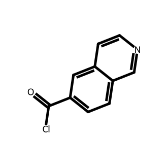 O=C(Cl)c1ccc2cnccc2c1